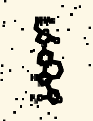 CC(=O)NCC1CN(c2ccc3c(c2)CCCc2c(-c4cocc4C(F)(F)F)n[nH]c2-3)C(=O)O1